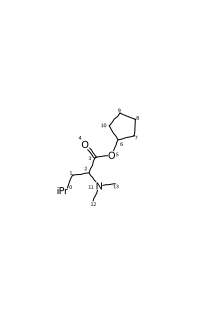 CC(C)CC(C(=O)OC1CCCC1)N(C)C